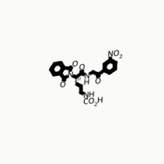 O=C(O)NCCC[C@@H](C(=O)NCC(=O)c1cccc([N+](=O)[O-])c1)N1C(=O)c2ccccc2C1=O